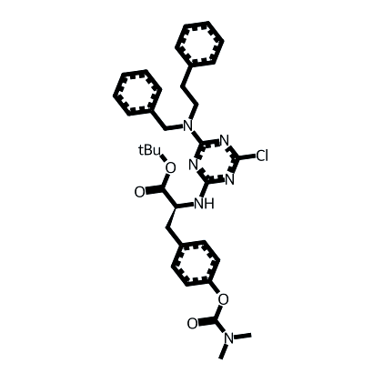 CN(C)C(=O)Oc1ccc(C[C@H](Nc2nc(Cl)nc(N(CCc3ccccc3)Cc3ccccc3)n2)C(=O)OC(C)(C)C)cc1